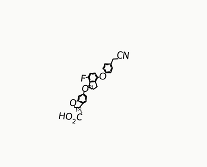 N#CCCc1ccc(Oc2ccc(F)c3c2CC[C@H]3Oc2ccc3c(c2)OC[C@H]3CC(=O)O)cc1